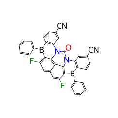 N#Cc1ccc2c(c1)N1C(=O)N3c4cc(C#N)ccc4B(c4ccccc4)c4c(F)cc5cc(F)c(c1c5c43)B2c1ccccc1